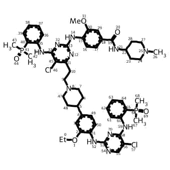 CCOc1cc(C2CCN(CCc3nc(Nc4ccc(C(=O)NC5CCN(C)CC5)cc4OC)nc(Nc4ccccc4P(C)(C)=O)c3Cl)CC2)ccc1Nc1ncc(Cl)c(Nc2ccccc2P(C)(C)=O)n1